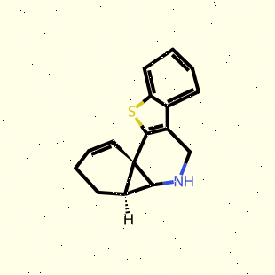 C1=C[C@@]23c4sc5ccccc5c4CNC2[C@H]3CC1